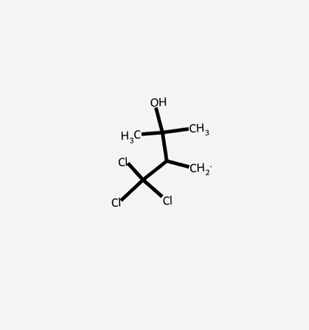 [CH2]C(C(C)(C)O)C(Cl)(Cl)Cl